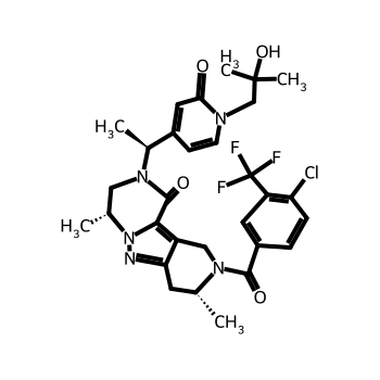 C[C@@H]1Cc2nn3c(c2CN1C(=O)c1ccc(Cl)c(C(F)(F)F)c1)C(=O)N([C@@H](C)c1ccn(CC(C)(C)O)c(=O)c1)C[C@H]3C